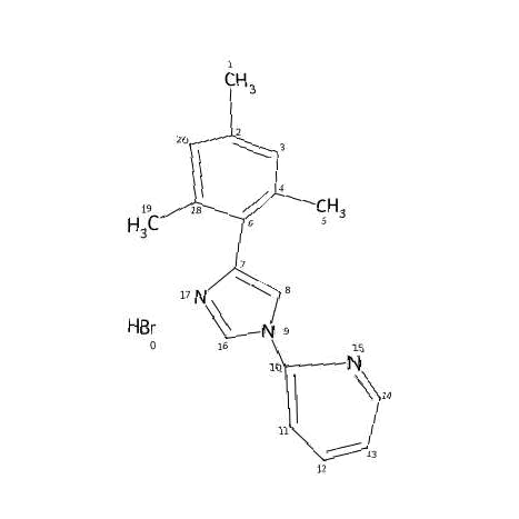 Br.Cc1cc(C)c(-c2cn(-c3ccccn3)cn2)c(C)c1